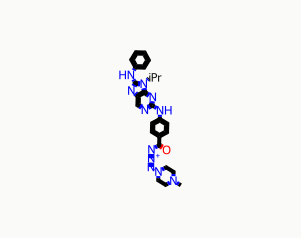 CC(C)n1c(Nc2ccccc2)nc2cnc(Nc3ccc(C(=O)N=[N+]=NN4CCN(C)CC4)cc3)nc21